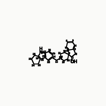 OC1Cc2ccccc2C12CCN(Cc1ccc3[nH]c4c(c3c1)CCCC4)CC2